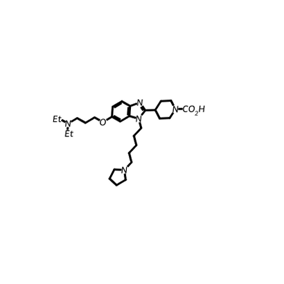 CCN(CC)CCCOc1ccc2nc(C3CCN(C(=O)O)CC3)n(CCCCCN3CCCC3)c2c1